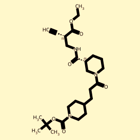 C#C[C@@H](CNC(=O)[C@@H]1CCCN(C(=O)CCC2CCN(C(=O)OC(C)(C)C)CC2)C1)C(=O)OCC